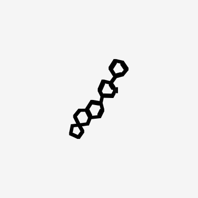 c1ccc(-c2ccc(-c3ccc4c(c3)CCC3(CCCC3)C4)cn2)cc1